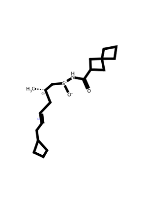 C[C@@H](C/C=C/CC1CCC1)C[S+]([O-])NC(=O)C1CC2(CCC2)C1